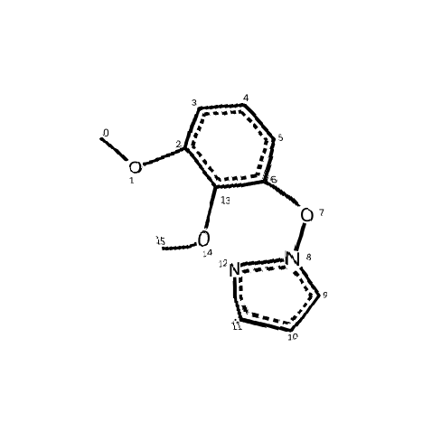 COc1cccc(On2cc[c]n2)c1OC